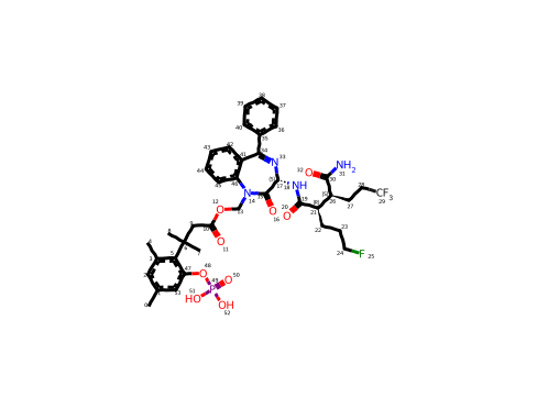 Cc1cc(C)c(C(C)(C)CC(=O)OCN2C(=O)[C@@H](NC(=O)[C@H](CCCF)[C@H](CCC(F)(F)F)C(N)=O)N=C(c3ccccc3)c3ccccc32)c(OP(=O)(O)O)c1